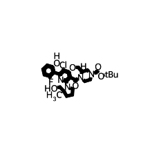 CC(C)(C)OC(=O)N1CCN2C(=O)c3c(N4CCC[C@@]4(C)CO)nc(-c4c(O)cccc4F)c(Cl)c3OC[C@H]2C1